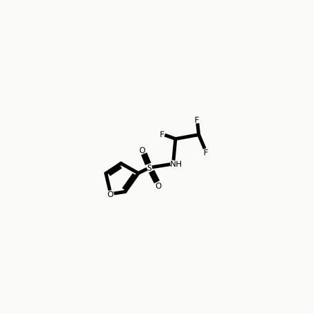 O=S(=O)(NC(F)C(F)F)c1ccoc1